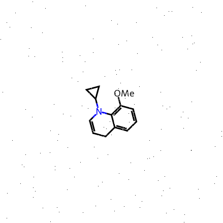 COc1cccc2c1N(C1CC1)C=CC2